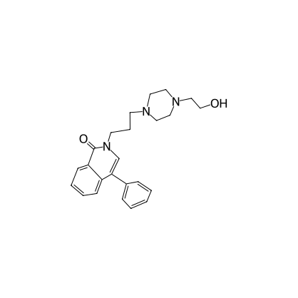 O=c1c2ccccc2c(-c2ccccc2)cn1CCCN1CCN(CCO)CC1